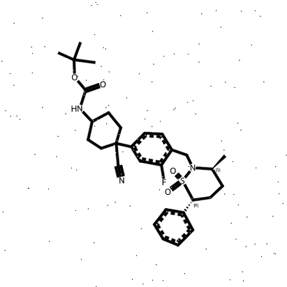 C[C@H]1CC[C@H](c2ccccc2)S(=O)(=O)N1Cc1ccc(C2(C#N)CCC(NC(=O)OC(C)(C)C)CC2)cc1F